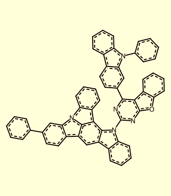 c1ccc(-c2ccc3c4cc5c6ccccc6n(-c6nc(-c7ccc8c9ccccc9n(-c9ccccc9)c8c7)c7c(n6)oc6ccccc67)c5c5c6ccccc6n(c3c2)c45)cc1